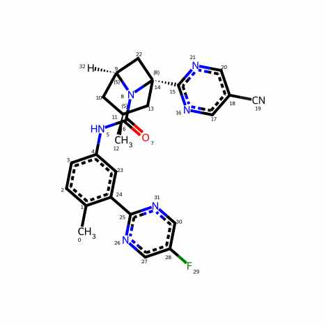 Cc1ccc(NC(=O)N2[C@H]3C[C@H](C)C[C@]2(c2ncc(C#N)cn2)C3)cc1-c1ncc(F)cn1